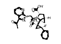 CC(=O)c1nn(CC(=O)N2[C@H](C(=O)O)C[C@H]3C[C@@]32[C@]2(C(N)=O)C[C@]2(F)c2ccccc2)c2ncccc12